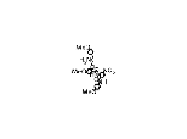 COc1ccc(CC(N)CCOc2cc(OC)ccc2C(=O)Nc2cc([N+](=O)[O-])ccc2C(=O)Nc2ccc(OC)cc2)cc1